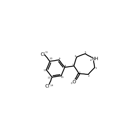 O=C1CCNCCC1c1cc(Cl)cc(Cl)c1